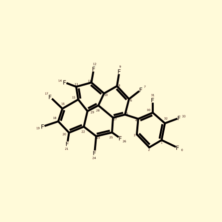 Fc1ccc(-c2c(F)c(F)c3c(F)c(F)c4c(F)c(F)c(F)c5c(F)c(F)c2c3c45)c(F)c1F